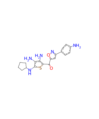 Nc1ccc(-c2cc(C(=O)c3sc(NC4CCCC4)c(N)c3N)on2)cc1